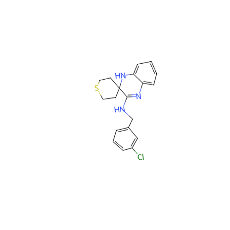 Clc1cccc(CNC2=Nc3ccccc3NC23CCSCC3)c1